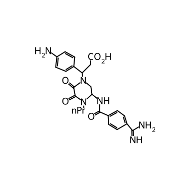 CCCN1C(=O)C(=O)N(C(CC(=O)O)c2ccc(N)cc2)CC1NC(=O)c1ccc(C(=N)N)cc1